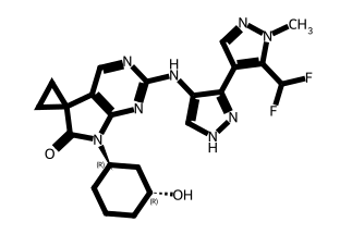 Cn1ncc(-c2n[nH]cc2Nc2ncc3c(n2)N([C@@H]2CCC[C@@H](O)C2)C(=O)C32CC2)c1C(F)F